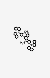 CN1c2cc(N(c3cccc4ccccc34)c3cccc4ccccc34)ccc2-c2cc3c(c4cccc1c24)c1ccc(N(c2cccc4ccccc24)c2cccc4ccccc24)cc1n3C